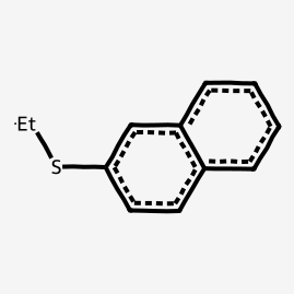 C[CH]Sc1ccc2ccccc2c1